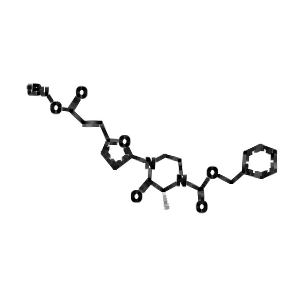 C[C@@H]1C(=O)N(c2ccc(/C=C/C(=O)OC(C)(C)C)o2)CCN1C(=O)OCc1ccccc1